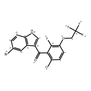 O=C(c1c(Cl)ccc(OCC(F)(F)F)c1F)c1c[nH]c2ncc(Br)cc12